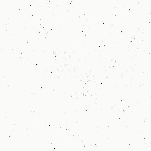 Cc1cc(C)cc(-n2c3ccccc3c3cc(-c4ccc5c(c4)c4ccccc4n5-c4cc(-c5ccccc5)nc(-c5ccccc5)c4)ccc32)c1